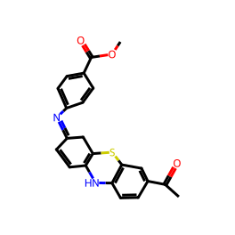 COC(=O)c1ccc(N=C2C=CC3=C(C2)Sc2cc(C(C)=O)ccc2N3)cc1